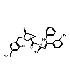 CCCc1cccc(/C(=C/C(=N)NC(=O)C23CC2C(=O)N(Cc2ccc(OC)cc2O)C3)Nc2ccccc2)c1